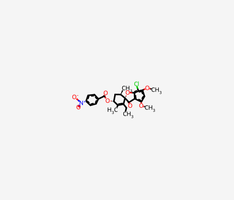 CCC1=C(C)[C@H](OC(=O)c2ccc([N+](=O)[O-])cc2)C[C@@H](C)[C@]12Oc1c(Cl)c(OC)cc(OC)c1C2=O